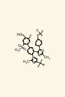 Cc1nc(-c2cc(-c3cc(F)c(CO)cc3S(C)(=O)=O)ccc2-n2cc(C(F)(F)F)nc2C)c(-c2ccc(SC(F)(F)F)cc2)o1